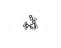 COc1cc(OCC(=O)O)c(C=CC(=O)c2cc(OC)c(OC)c(OC)c2)cc1-c1cc2ccccc2s1